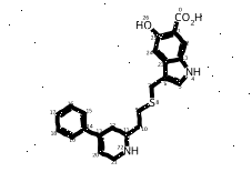 O=C(O)c1cc2[nH]cc(CSCCC3CC(c4ccccc4)=CCN3)c2cc1O